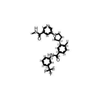 CNC(=O)c1cncc(N2CC[C@@H](c3cc(C(=O)Nc4cccc(C(F)(F)F)c4)ccc3C)C2)c1